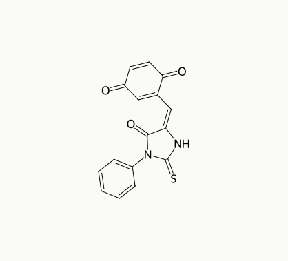 O=C1C=CC(=O)C(C=C2NC(=S)N(c3ccccc3)C2=O)=C1